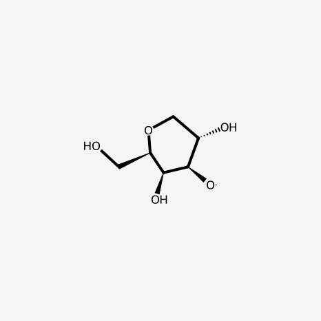 [O][C@H]1[C@@H](O)[C@@H](CO)OC[C@@H]1O